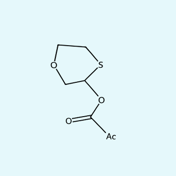 CC(=O)C(=O)OC1COCCS1